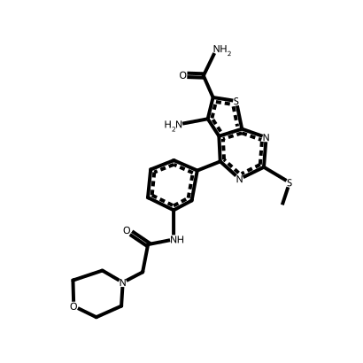 CSc1nc(-c2cccc(NC(=O)CN3CCOCC3)c2)c2c(N)c(C(N)=O)sc2n1